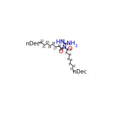 CCCCCCCCCCCCCCCCCC(=O)N(C(=N)N)C(=O)CCCCCCCCCCCCCCCCC